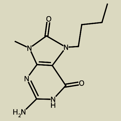 CCCCn1c(=O)n(C)c2nc(N)[nH]c(=O)c21